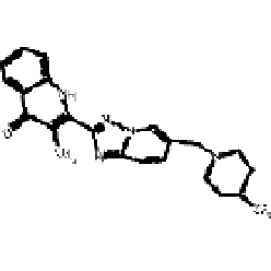 Cc1c(-c2nc3ccc(CN4CCC(C(F)(F)F)CC4)cn3n2)[nH]c2ccccc2c1=O